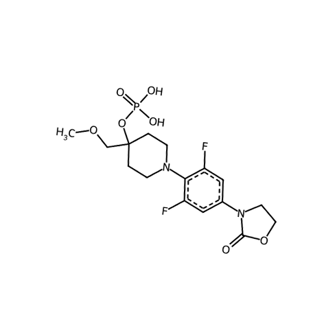 COCC1(OP(=O)(O)O)CCN(c2c(F)cc(N3CCOC3=O)cc2F)CC1